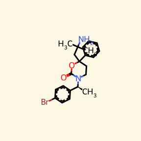 C[C@@H](c1ccc(Br)cc1)N1CCC(CC(C)(C)N)(c2ccccc2)OC1=O